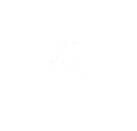 COc1cc(CNc2ncccc2C(=O)Nc2cc(OC[C@H]3CCCO3)cc(C(F)(F)F)c2)ccn1